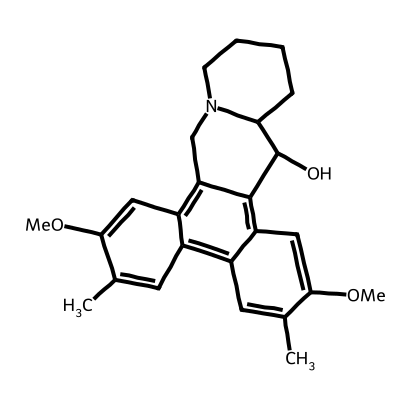 COc1cc2c3c(c4cc(OC)c(C)cc4c2cc1C)C(O)C1CCCCN1C3